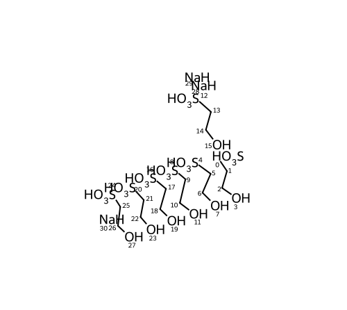 O=S(=O)(O)CCO.O=S(=O)(O)CCO.O=S(=O)(O)CCO.O=S(=O)(O)CCO.O=S(=O)(O)CCO.O=S(=O)(O)CCO.O=S(=O)(O)CCO.[NaH].[NaH].[NaH]